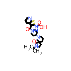 CC(C)N1CCC2(CCCN(C3CCN(C(=O)c4c(NC(=O)O)sc5ncccc45)CC3)C2)C1=O